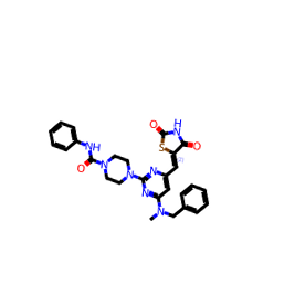 CN(Cc1ccccc1)c1cc(/C=C2\SC(=O)NC2=O)nc(N2CCN(C(=O)Nc3ccccc3)CC2)n1